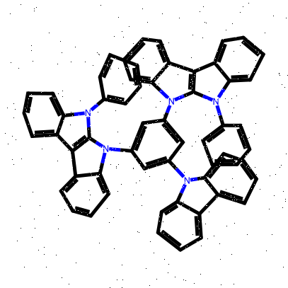 c1ccc(-n2c3ccccc3c3c4ccccc4n(-c4cc(-n5c6ccccc6c6ccccc65)cc(-n5c6ccccc6c6c7ccccc7n(-c7ccccc7)c65)c4)c32)cc1